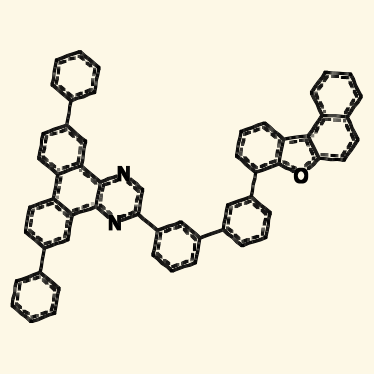 c1ccc(-c2ccc3c4ccc(-c5ccccc5)cc4c4nc(-c5cccc(-c6cccc(-c7cccc8c7oc7ccc9ccccc9c78)c6)c5)cnc4c3c2)cc1